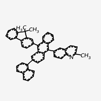 Cc1ccc2cc(-c3c4ccccc4c(-c4ccc5c(c4)C(C)(C)c4ccccc4-5)c4cc(-c5cccc6ccccc56)ccc34)ccc2n1